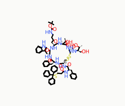 C[C@@H](O)[C@@H](CO)NC(=O)[C@@H]1CSSC[C@H](NC(=O)[C@@H](Cc2ccccc2)NC(=O)CCSC(c2ccccc2)(c2ccccc2)c2ccccc2)C(=O)N[C@@H](Cc2ccccc2)C(=O)N[C@H](Cc2c[nH]c3ccccc23)C(=O)N[C@@H](CCCCNC(=O)OC(C)(C)C)C(=O)N[C@@](C)([C@@H](C)O)C(=O)N1